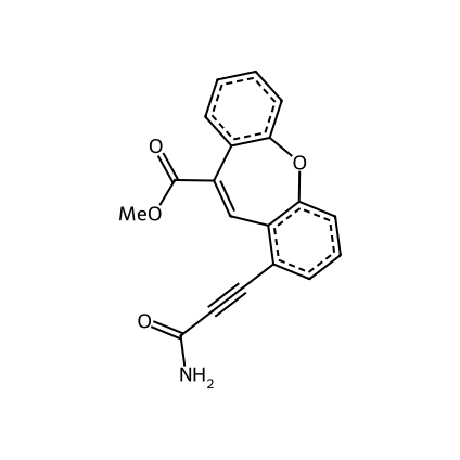 COC(=O)C1=Cc2c(C#CC(N)=O)cccc2Oc2ccccc21